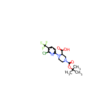 CC(C)(C)OC(=O)N1CCN(c2ccc(C(F)(F)F)c(Cl)n2)C(C(=O)O)C1